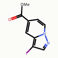 COC(=O)c1ccn2ncc(I)c2c1